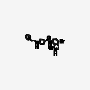 O=C(Nc1ccc(Br)c2c1C(=O)NCC2)c1ccc(NCCN2CCCC2)cc1